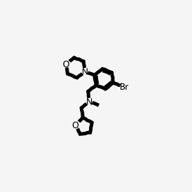 CN(Cc1cc(Br)ccc1N1CCOCC1)CC1CCCO1